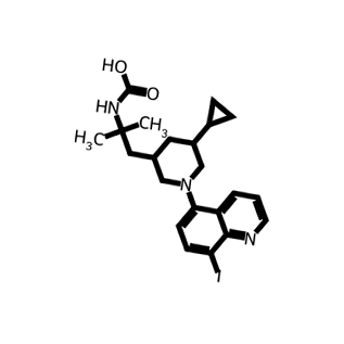 CC(C)(CC1CC(C2CC2)CN(c2ccc(I)c3ncccc23)C1)NC(=O)O